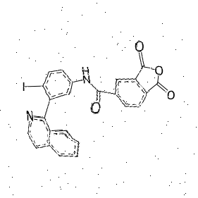 O=C(Nc1ccc(I)c(-c2nccc3ccccc23)c1)c1ccc2c(c1)C(=O)OC2=O